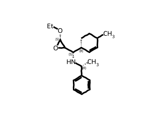 CCO[C@H]1OC1[C@@H](N[C@H](C)c1ccccc1)[C@H]1C=CC(C)CC1